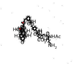 CC(=O)N[C@@H](CCCCN)C(=O)NCC(=O)N[C@@H](CCC(=O)O)C(=O)Nc1ccc(COC(=O)Nc2cccc(CC34CC([C@H]5O[C@@H]6C[C@H]7[C@@H]8CCC9=CC(=O)C=C[C@]9(C)[C@H]8[C@@H](O)C[C@]7(C)[C@]6(C(=O)CO)O5)(C3)C4)c2)cc1